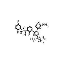 CC(C)(C)c1nc(-c2cccc(NS(=O)(=O)c3cc(F)ccc3F)c2F)c(-c2ccnc(N)n2)s1